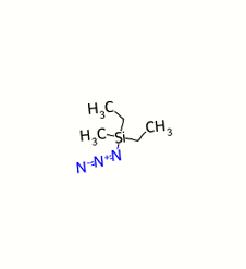 CC[Si](C)(CC)N=[N+]=[N-]